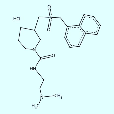 CN(C)CCNC(=O)N1CCCC(CS(=O)(=O)Cc2cccc3ccccc23)C1.Cl